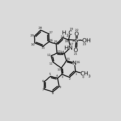 Cc1cc(-c2ccccc2)c2ccc3c(c2n1)NC(C)(S(=O)(=O)O)C=C3c1ccccc1